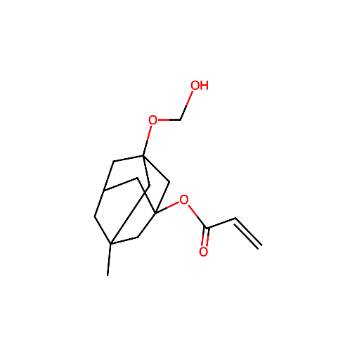 C=CC(=O)OC12CC3CC(C)(CC(OCO)(C3)C1)C2